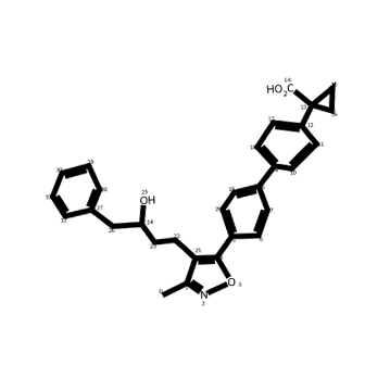 Cc1noc(-c2ccc(-c3ccc(C4(C(=O)O)CC4)cc3)cc2)c1CCC(O)Cc1ccccc1